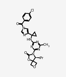 Cc1nc(NC2(c3cn(C(=O)c4ccc(Cl)cc4)cn3)CC2)nc(N2C(=O)OC3(COC3)[C@@H]2C(C)C)n1